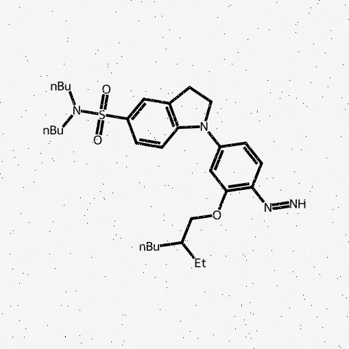 CCCCC(CC)COc1cc(N2CCc3cc(S(=O)(=O)N(CCCC)CCCC)ccc32)ccc1N=N